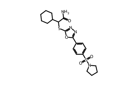 NC(=O)C(Sc1nnc(-c2ccc(S(=O)(=O)N3CCCC3)cc2)o1)C1CCCCC1